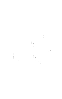 Cc1ccccc1/N=C\Cc1nc(OCCC2=CNCC=C2)ncc1C#N